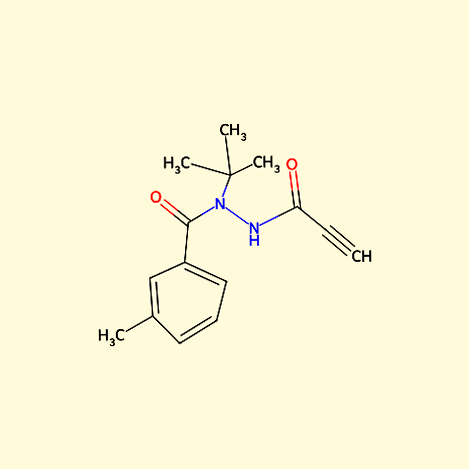 C#CC(=O)NN(C(=O)c1cccc(C)c1)C(C)(C)C